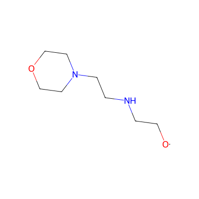 [O]CCNCCN1CCOCC1